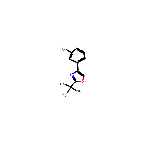 Cc1cccc(-c2coc(C(C)(C)C)n2)c1